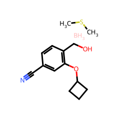 B.CSC.N#Cc1ccc(CO)c(OC2CCC2)c1